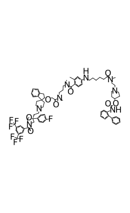 Cc1cc(NCCCCCC(=O)N(C)CCN2CCC(OC(=O)Nc3ccccc3-c3ccccc3)CC2)ccc1C(=O)N(C)CCCN(C)C(=O)CO[C@H]1Cc2ccccc2C12CCN(CC[C@@]1(c3ccc(F)cc3)CN(C(=O)c3cc(C(F)(F)F)cc(C(F)(F)F)c3)CO1)CC2